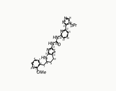 COc1ncccc1CC1CCc2sc(NC(=O)Nc3cccc(-c4nncn4C(C)C)n3)nc2N1